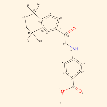 COC(=O)c1ccc(NCC(=O)c2ccc3c(c2)C(C)(C)CCC3(C)C)cc1